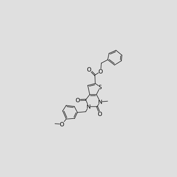 COc1cccc(Cn2c(=O)c3cc(C(=O)OCc4ccccc4)sc3n(C)c2=O)c1